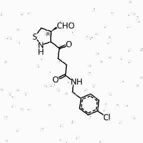 O=C[C@@H]1CSNC1C(=O)CCC(=O)NCc1ccc(Cl)cc1